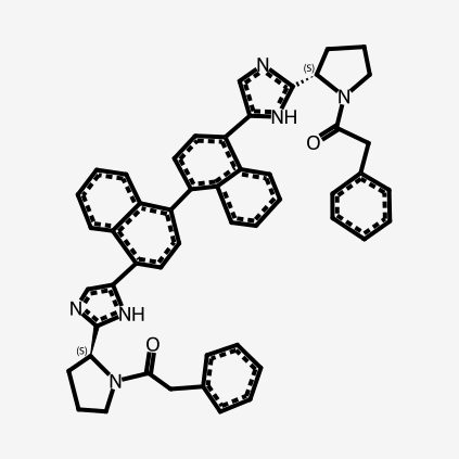 O=C(Cc1ccccc1)N1CCC[C@H]1c1ncc(-c2ccc(-c3ccc(-c4cnc([C@@H]5CCCN5C(=O)Cc5ccccc5)[nH]4)c4ccccc34)c3ccccc23)[nH]1